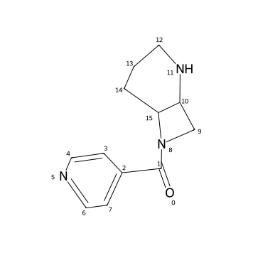 O=C(c1ccncc1)N1CC2NCCCC21